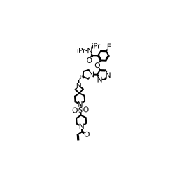 C=CC(=O)N1CCC(S(=O)(=O)N2CCC3(CC2)CN(C[C@@H]2CCN(c4ncncc4Oc4ccc(F)cc4C(=O)N(C(C)C)C(C)C)C2)C3)CC1